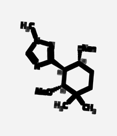 CCCCCCCCC[C@@H]1CCC(C)(C)[C@H](OC)[C@H]1c1ncn(C)n1